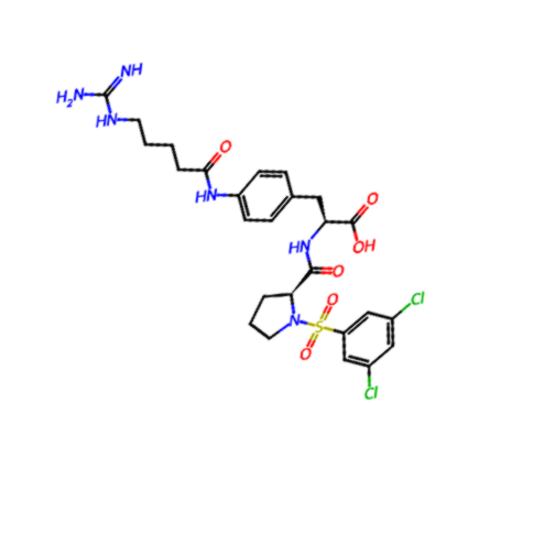 N=C(N)NCCCCC(=O)Nc1ccc(C[C@H](NC(=O)[C@@H]2CCCN2S(=O)(=O)c2cc(Cl)cc(Cl)c2)C(=O)O)cc1